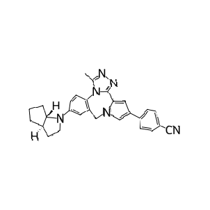 Cc1nnc2n1-c1ccc(N3CC[C@H]4CCC[C@@H]43)cc1Cn1cc(-c3ccc(C#N)cc3)cc1-2